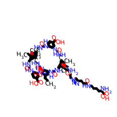 C=C/C=C(\C=C1\NC(=O)N/C=C2/C(OCCOCCn3cc(CCC(=O)NCCCCC(N)C(=O)O)nn3)=C(CNC(=O)Nc3cc(C(=O)O)ccc3NC(=O)NCc3c(CC)c4c(CC)c(c3CC)CNC(=O)NC1C(=O)Nc1cc(C(=O)O)ccc1NC(=O)NC4)C(C)=C(CN)C2C)C(=O)O